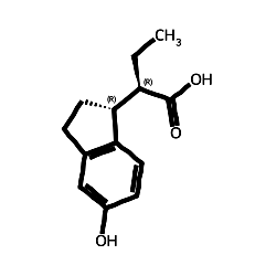 CC[C@@H](C(=O)O)[C@H]1CCc2cc(O)ccc21